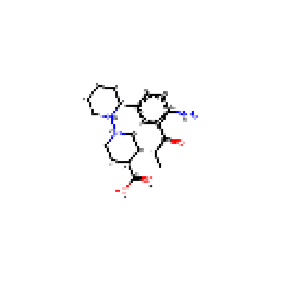 CCC(=O)c1cc(C2CCCCN2N2CCC(C(=O)O)CC2)ccc1N